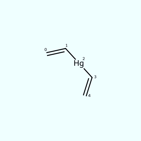 C=[CH][Hg][CH]=C